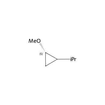 CO[C@H]1CC1C(C)C